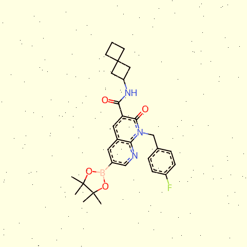 CC1(C)OB(c2cnc3c(c2)cc(C(=O)NC2CC4(CCC4)C2)c(=O)n3Cc2ccc(F)cc2)OC1(C)C